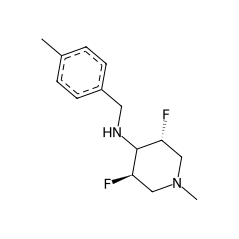 Cc1ccc(CNC2[C@H](F)CN(C)C[C@H]2F)cc1